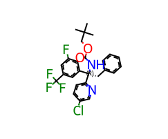 CC(C)(C)COC(=O)N[C@](Cc1ccccc1)(c1cc(F)cc(C(F)(F)F)c1)c1ccc(Cl)cn1